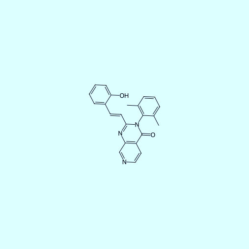 Cc1cccc(C)c1-n1c(/C=C/c2ccccc2O)nc2cnccc2c1=O